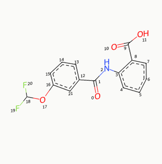 O=C(Nc1ccccc1C(=O)O)c1cccc(OC(F)F)c1